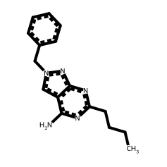 CCCCc1nc(N)c2cn(Cc3ccccc3)nc2n1